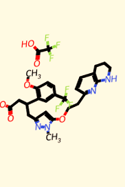 COc1ccc(C(F)(F)F)cc1C(CC(=O)O)Cc1cc(OCCc2ccc3c(n2)NCCC3)n(C)n1.O=C(O)C(F)(F)F